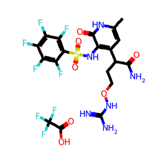 Cc1cc(C(CCONC(=N)N)C(N)=O)c(NS(=O)(=O)c2c(F)c(F)c(F)c(F)c2F)c(=O)[nH]1.O=C(O)C(F)(F)F